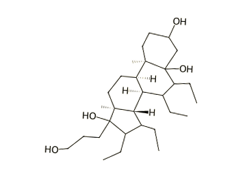 CCC1C(CC)C2(O)CC(O)CC[C@]2(C)[C@@H]2CC[C@@]3(C)[C@@H](C(CC)C(CC)C3(O)CCCO)[C@H]12